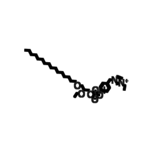 CCCCCCCCCCCCCCCCOCC(COP(=O)(O)Oc1ccc(Cn2cc[n+](CC)c2)cc1)OCC